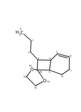 CCCC1C2C=CCCC2C12OCCO2